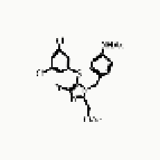 CC(=O)Nc1ccc(Cn2c(COC(C)=O)nc(C(C)C)c2Sc2cc(Cl)cc(Cl)c2)cc1